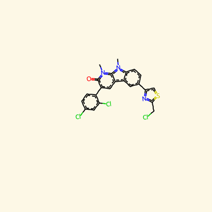 Cn1c(=O)c(-c2ccc(Cl)cc2Cl)cc2c3cc(-c4csc(CCl)n4)ccc3n(C)c21